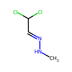 CNN=CC(Cl)Cl